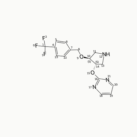 FC(F)(F)c1ccc(CO[C@H]2CNC[C@@H]2Oc2ncccn2)cc1